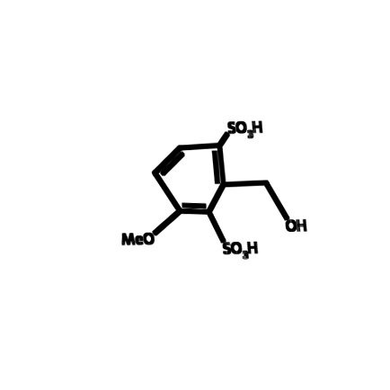 COc1ccc(S(=O)(=O)O)c(CO)c1S(=O)(=O)O